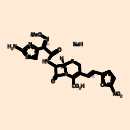 CO/N=C(/C(=O)NC1C(=O)N2C(C(=O)O)=C(/C=C/c3ccc([N+](=O)[O-])o3)CS[C@H]12)c1csc(N)n1.[NaH]